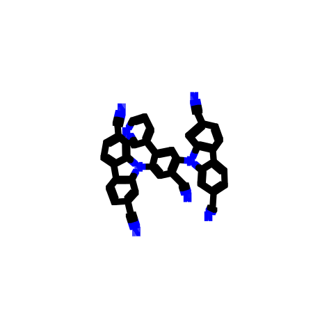 N#Cc1ccc2c3ccc(C#N)cc3n(-c3cc(-c4cccnc4)c(-n4c5cc(C#N)ccc5c5ccc(C#N)cc54)cc3C#N)c2c1